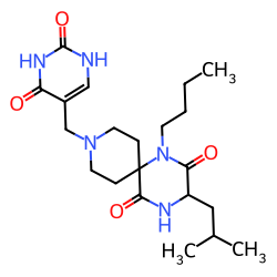 CCCCN1C(=O)C(CC(C)C)NC(=O)C12CCN(Cc1c[nH]c(=O)[nH]c1=O)CC2